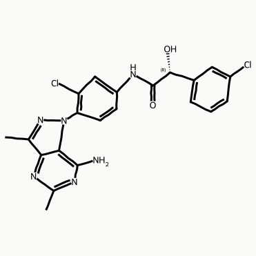 Cc1nc(N)c2c(n1)c(C)nn2-c1ccc(NC(=O)[C@H](O)c2cccc(Cl)c2)cc1Cl